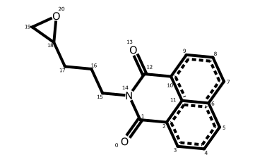 O=C1c2cccc3cccc(c23)C(=O)N1CCCC1CO1